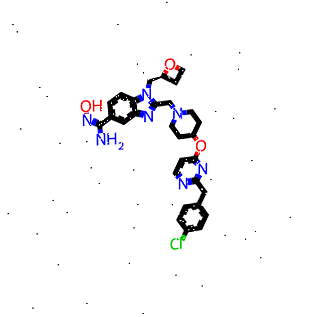 N/C(=N/O)c1ccc2c(c1)nc(CN1CCC(Oc3ccnc(Cc4ccc(Cl)cc4)n3)CC1)n2C[C@@H]1CCO1